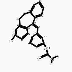 CN(C)C(=O)Nc1cccc(C=C2c3ccccc3CCc3cc(Cl)ccc32)c1